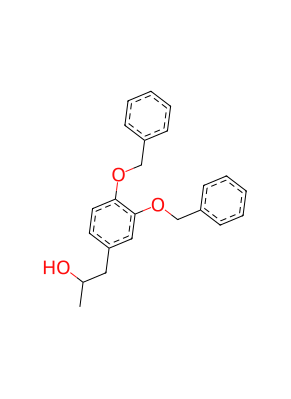 CC(O)Cc1ccc(OCc2ccccc2)c(OCc2ccccc2)c1